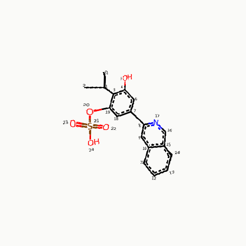 CC(C)c1c(O)cc(-c2cc3ccccc3cn2)cc1OS(=O)(=O)O